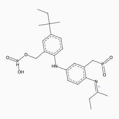 CC/C(C)=N\c1ccc(Nc2ccc(C(C)(C)CC)cc2CO[PH](=O)O)cc1CP(=O)=O